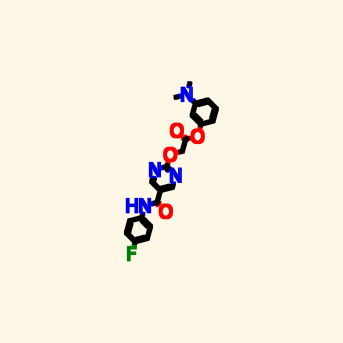 CN(C)c1cccc(OC(=O)COc2ncc(C(=O)Nc3ccc(F)cc3)cn2)c1